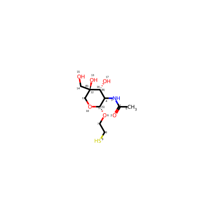 CC(=O)NC1[C@H](OCCS)OC[C@](O)(CO)[C@@H]1O